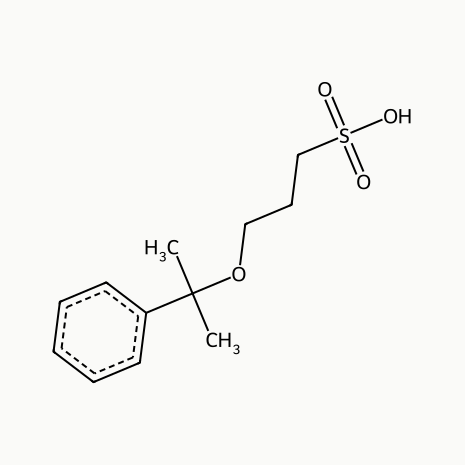 CC(C)(OCCCS(=O)(=O)O)c1ccccc1